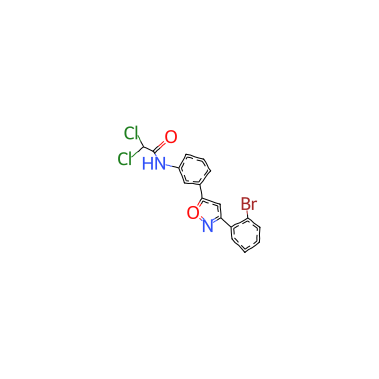 O=C(Nc1cccc(-c2cc(-c3ccccc3Br)no2)c1)C(Cl)Cl